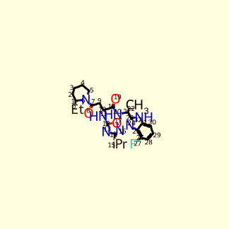 CCC1CCCCN1C(=O)CC(Nc1nc(C(C)C)no1)C(=O)N[C@@H](C)c1nc2c(F)cccc2[nH]1